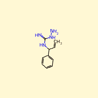 C=CC(NC(=N)NN)c1ccccc1